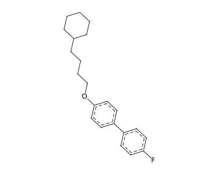 Fc1ccc(-c2ccc(OCCCCC3CCCCC3)cc2)cc1